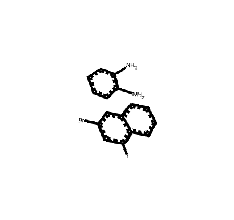 Brc1cc(I)c2ccccc2c1.Nc1ccccc1N